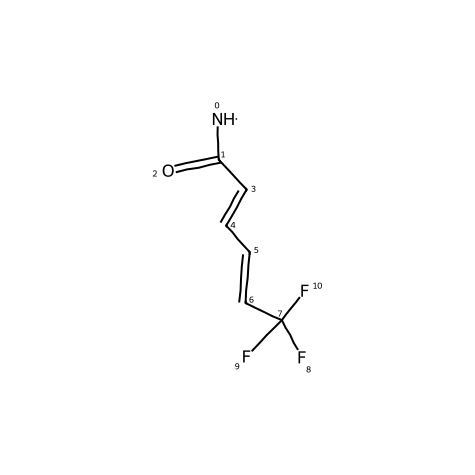 [NH]C(=O)/C=C/C=C/C(F)(F)F